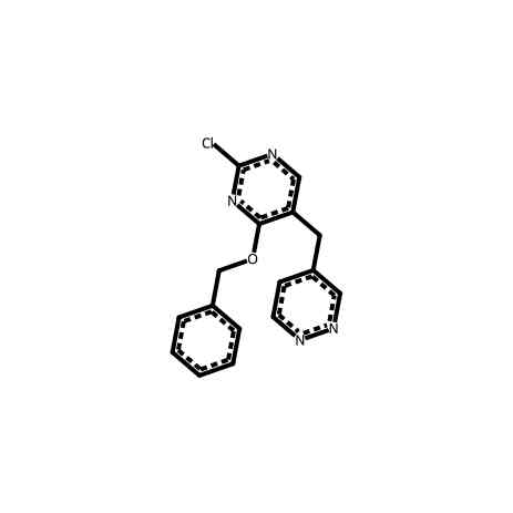 Clc1ncc(Cc2ccnnc2)c(OCc2ccccc2)n1